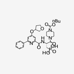 CCCCOC(=O)N1CCN(C(=O)[C@H](CP(=O)(O)O)NC(=O)c2cc(OC3CCOC3)cc(-c3ccccc3)n2)CC1